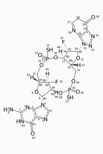 Nc1nc2c(ncn2[C@@H]2O[C@@H]3COP(=O)(S)O[C@H]4[C@H](F)[C@H](n5nnc6c5N=CCC6=O)O[C@@H]4COP(=O)(S)O[C@@H]2[C@@H]3F)c(=O)[nH]1